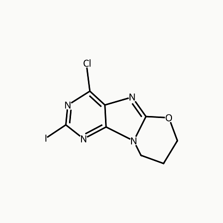 Clc1nc(I)nc2c1nc1n2CCCO1